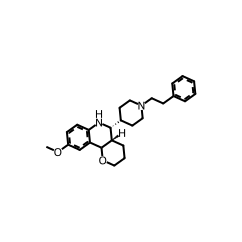 COc1ccc2c(c1)C1OCCC[C@H]1[C@@H](C1CCN(CCc3ccccc3)CC1)N2